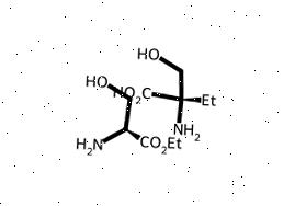 CCOC(=O)[C@@H](N)CO.CC[C@](N)(CO)C(=O)O